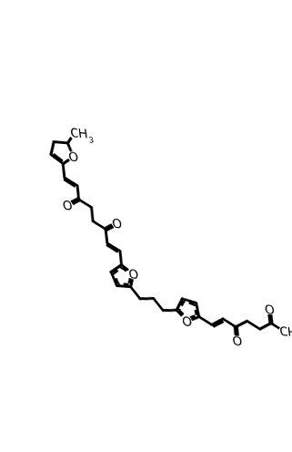 CC(=O)CCC(=O)/C=C/c1ccc(CCCc2ccc(/C=C/C(=O)CCC(=O)/C=C/C3=CCC(C)O3)o2)o1